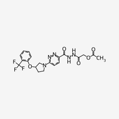 CC(=O)OCC(=O)NNC(=O)c1ccc(N2CCC(Oc3ccccc3C(F)(F)F)C2)nn1